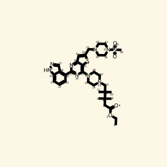 CCOC(=O)CC(C)(C)C(C)(C)CN1CCN(c2nc(-c3cccc4[nH]ncc34)nc3cc(CN4CCN(S(C)(=O)=O)CC4)sc23)CC1